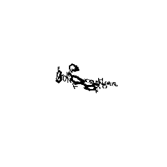 CC(C)(C)OC(=O)Nc1sc2c(F)ccc(-c3c(Cl)cc4c(N5CCCCCC5)nc(OC[C@@]56CCCN5C[C@H](F)C6)nc4c3F)c2c1C#N